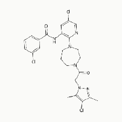 Cc1nn(CC(=O)N2CCCN(c3ncc(Cl)cc3NC(=O)c3cccc(Cl)c3)CC2)c(C)c1Cl